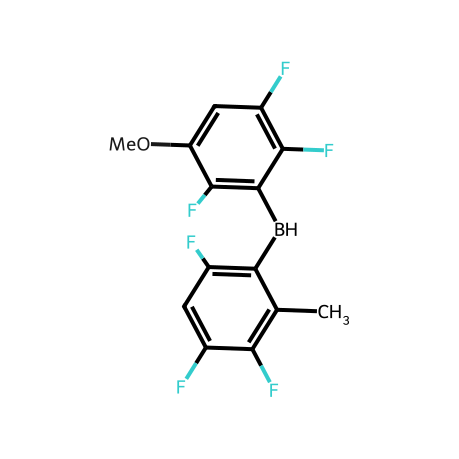 COc1cc(F)c(F)c(Bc2c(F)cc(F)c(F)c2C)c1F